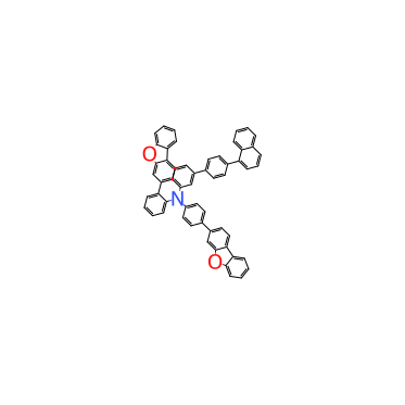 c1cc(-c2ccc(-c3cccc4ccccc34)cc2)cc(N(c2ccc(-c3ccc4c(c3)oc3ccccc34)cc2)c2ccccc2-c2ccc3c(c2)oc2ccccc23)c1